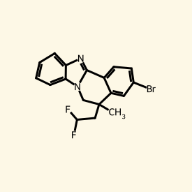 CC1(CC(F)F)Cn2c(nc3ccccc32)-c2ccc(Br)cc21